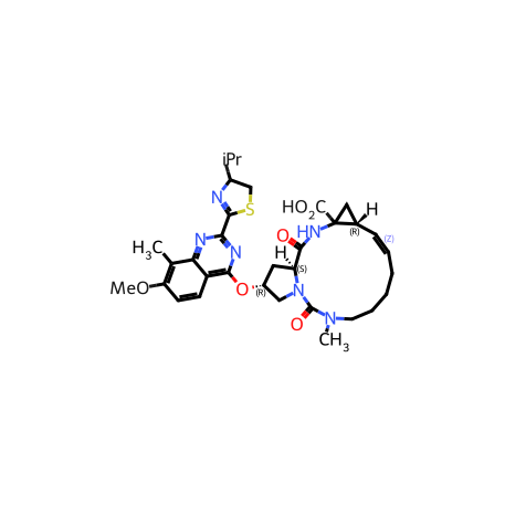 COc1ccc2c(O[C@@H]3C[C@H]4C(=O)NC5(C(=O)O)C[C@@H]5/C=C\CCCCN(C)C(=O)N4C3)nc(C3=NC(C(C)C)CS3)nc2c1C